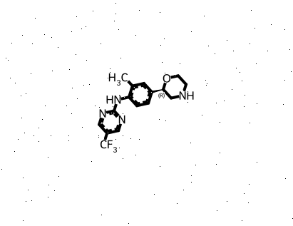 Cc1cc([C@@H]2CNCCO2)ccc1Nc1ncc(C(F)(F)F)cn1